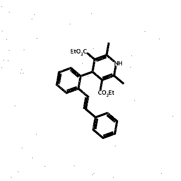 CCOC(=O)C1=C(C)NC(C)=C(C(=O)OCC)C1c1ccccc1C=Cc1ccccc1